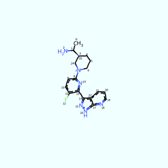 CC(N)[C@H]1CCCN(c2ccc(F)c(-c3n[nH]c4ncccc34)n2)C1